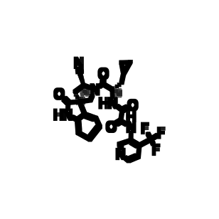 N#C[C@@H]1C[C@@]2(CN1C(=O)[C@H](CC1CC1)NC(=O)C(=O)Nc1cnccc1C(F)(F)F)C(=O)Nc1ccccc12